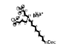 CCCCCCCCCCCCCCCCCCN(CCCS(=O)(=O)[O-])CCCS(=O)(=O)[O-].[Na+].[Na+]